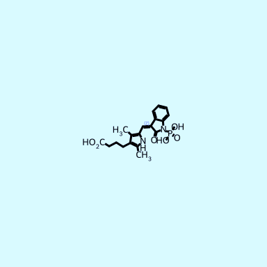 Cc1[nH]c(/C=C2\C(=O)N(P(=O)(O)O)c3ccccc32)c(C)c1CCCC(=O)O